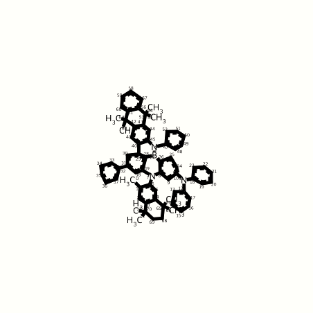 Cc1cc2c(cc1N1c3cc(N(c4ccccc4)c4ccccc4)ccc3B3c4c(cc(-c5ccccc5)cc41)-c1cc4c(cc1N3c1ccccc1)C(C)(C)c1ccccc1C4(C)C)C(C)(C)CCC2(C)C